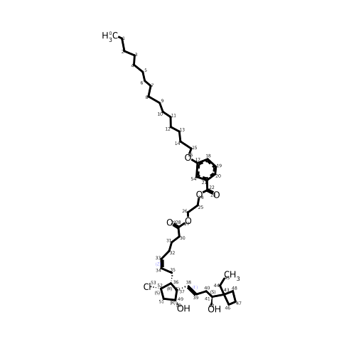 CCCCCCCCCCCCCCCCOc1cccc(C(=O)OCCOC(=O)CCC/C=C\C[C@@H]2[C@H](/C=C/C[C@H](O)C3(CC)CCC3)[C@H](O)C[C@@H]2Cl)c1